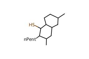 CCCCCC1C(C)CC2CC(C)CCC2C1S